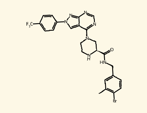 Cc1cc(CNC(=O)[C@@H]2CN(c3ncnc4nn(-c5ccc(C(F)(F)F)cc5)cc34)CCN2)ccc1Br